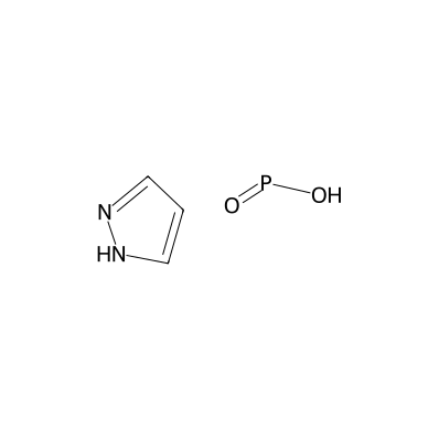 O=PO.c1cn[nH]c1